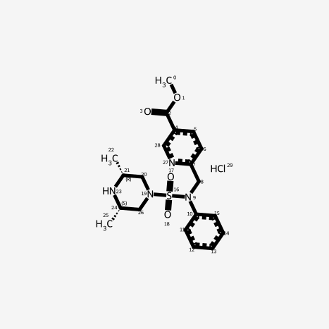 COC(=O)c1ccc(CN(c2ccccc2)S(=O)(=O)N2C[C@@H](C)N[C@@H](C)C2)nc1.Cl